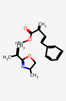 C=C(C)C1=NC(C)CO1.C=C(C=Cc1ccccc1)C(=O)OCCCC